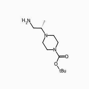 C[C@@H](CN)N1CCN(C(=O)OC(C)(C)C)CC1